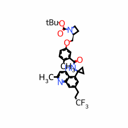 Cc1ccc2c(C3(NC(=O)c4cc(OC[C@@H]5CCN5C(=O)OC(C)(C)C)ccc4C)CC3)cc(CCC(F)(F)F)cc2n1